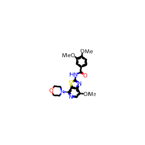 COc1ccc(C(=O)Nc2nc3c(OC)cnc(N4CCOCC4)c3s2)cc1OC